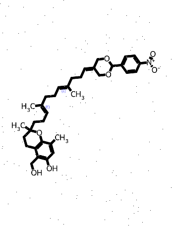 C/C(=C\CC/C(C)=C/CCC1(C)CCc2c(CO)c(O)cc(C)c2O1)CCC=C1COC(c2ccc([N+](=O)[O-])cc2)OC1